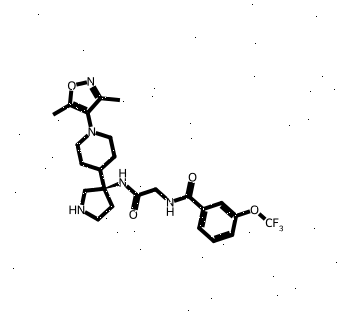 Cc1noc(C)c1N1CCC([C@]2(NC(=O)CNC(=O)c3cccc(OC(F)(F)F)c3)CCNC2)CC1